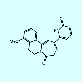 COc1cccc2c1CCN1C(=O)CN=C(c3cccc(=O)[nH]3)C=C21